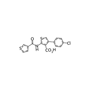 O=C(Nc1scc(-c2ccc(Cl)cc2)c1C(=O)O)c1ccsc1